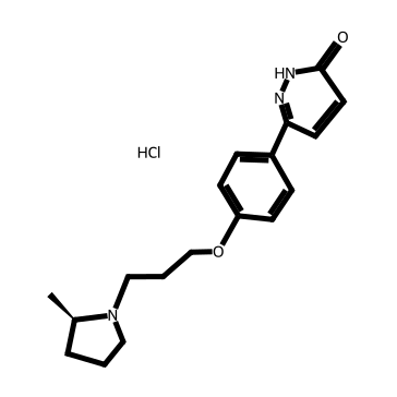 C[C@@H]1CCCN1CCCOc1ccc(-c2ccc(=O)[nH]n2)cc1.Cl